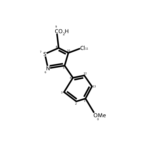 COc1ccc(-c2nsc(C(=O)O)c2Cl)cc1